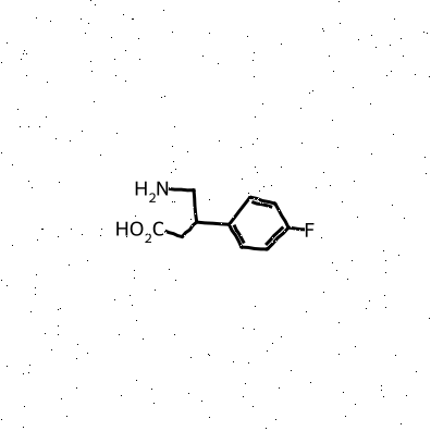 NCC(CC(=O)O)c1ccc(F)cc1